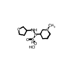 CN1CCCC(N(NC2CCOC2)[SH](=O)=O)C1.Cl